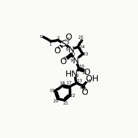 CCCS(=O)(=O)N1C(=O)N(C(=O)NC(C(=O)O)c2ccccc2)CC1C